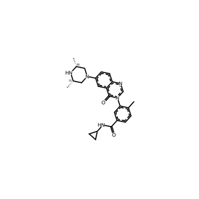 Cc1ccc(C(=O)NC2CC2)cc1-n1cnc2ccc(N3C[C@@H](C)N[C@@H](C)C3)cc2c1=O